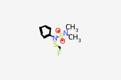 CN(C)S(=O)(=O)N(SCF)c1ccccc1